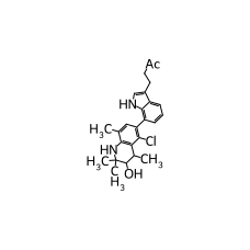 CC(=O)CCc1c[nH]c2c(-c3cc(C)c4c(c3Cl)C(C)C(O)C(C)(C)N4)cccc12